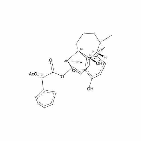 CC(=O)O[C@H](C(=O)OC1=CC[C@@]2(O)[C@H]3Cc4ccc(O)c5c4[C@@]2(CCCN3C)[C@H]1O5)c1ccccc1